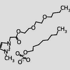 CCCCCCCCOS(=O)(=O)[O-].CCCCOCCOCCOC(=O)Cn1cc[n+](C)c1